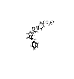 CCOC(=O)[C@H]1CC[C@H](CC(=O)N2CCc3c(C)nn(Cc4cccnc4)c3C2)CC1